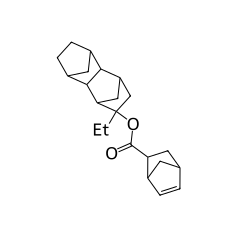 CCC1(OC(=O)C2CC3C=CC2C3)CC2CC1C1C3CCC(C3)C21